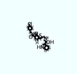 CN(Cc1cc2c(s1)c(=O)c(C(=O)NCc1ccc(Cl)cc1)cn2C)CC(O)c1c[nH]c2ccccc12